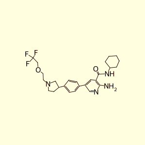 Nc1ncc(-c2ccc(C3CCN(CCOCC(F)(F)F)C3)cc2)cc1C(=O)NC1CCCCC1